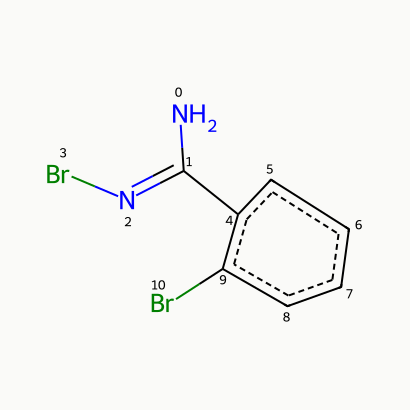 N/C(=N\Br)c1ccccc1Br